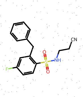 N#CCCNS(=O)(=O)c1ccc(F)cc1Cc1ccccc1